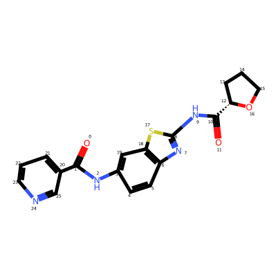 O=C(Nc1ccc2nc(NC(=O)[C@@H]3CCCO3)sc2c1)c1cccnc1